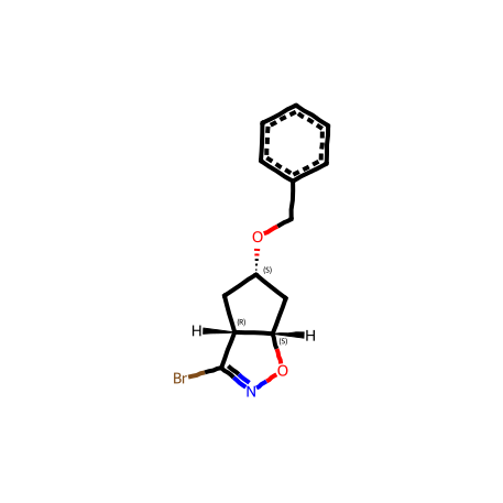 BrC1=NO[C@H]2C[C@@H](OCc3ccccc3)C[C@@H]12